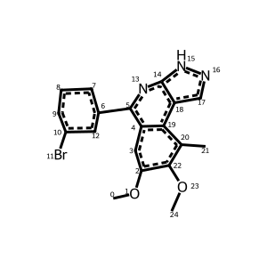 COc1cc2c(-c3cccc(Br)c3)nc3[nH]ncc3c2c(C)c1OC